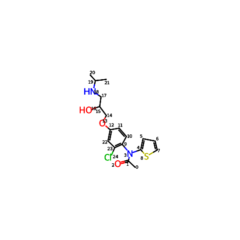 CC(=O)N(c1cccs1)c1ccc(OCC(O)CNC(C)C)cc1Cl